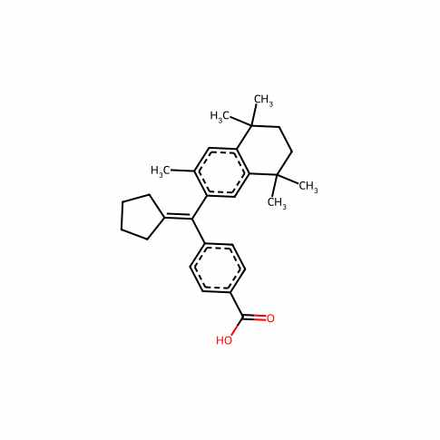 Cc1cc2c(cc1C(=C1CCCC1)c1ccc(C(=O)O)cc1)C(C)(C)CCC2(C)C